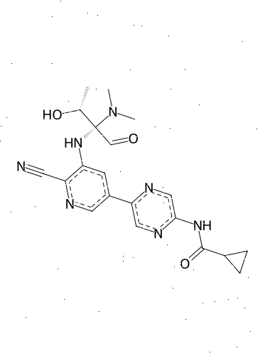 C[C@@H](O)[C@@](C=O)(Nc1cc(-c2cnc(NC(=O)C3CC3)cn2)cnc1C#N)N(C)C